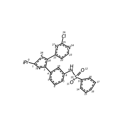 CC(C)c1nc(-c2cccc(NS(=O)(=O)c3ccccc3)c2)c(-c2ccnc(Cl)n2)s1